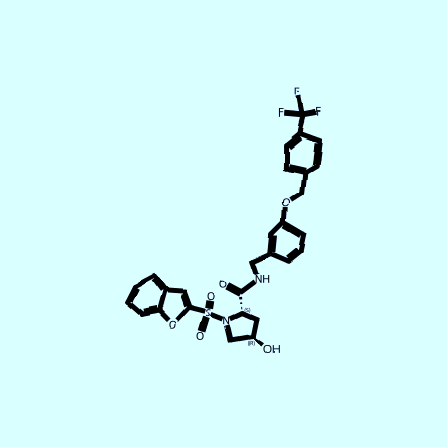 O=C(NCc1cccc(OCc2ccc(C(F)(F)F)cc2)c1)[C@@H]1C[C@@H](O)CN1S(=O)(=O)c1cc2ccccc2o1